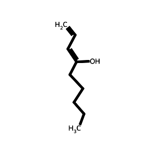 C=CC=C(O)CCCCC